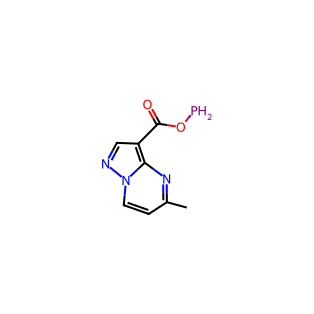 Cc1ccn2ncc(C(=O)OP)c2n1